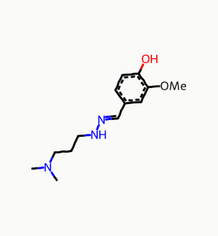 COc1cc(/C=N/NCCCN(C)C)ccc1O